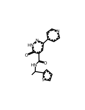 CC(NC(=O)c1cc(-c2ccncc2)n[nH]c1=O)c1cccs1